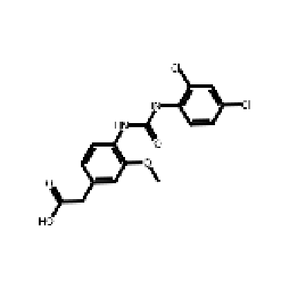 COc1cc(CC(=O)O)ccc1NC(=O)Nc1ccc(Cl)cc1Cl